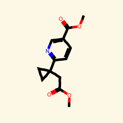 COC(=O)CC1(c2ccc(C(=O)OC)cn2)CC1